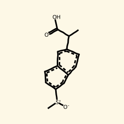 CC(C(=O)O)c1ccc2cc([S+](C)[O-])ccc2c1